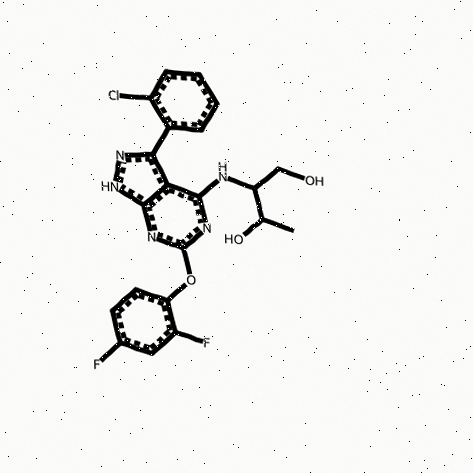 CC(O)C(CO)Nc1nc(Oc2ccc(F)cc2F)nc2[nH]nc(-c3ccccc3Cl)c12